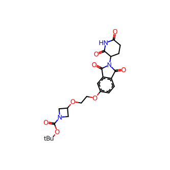 CC(C)(C)OC(=O)N1CC(OCCOc2ccc3c(c2)C(=O)N(C2CCC(=O)NC2=O)C3=O)C1